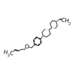 C=C[C@H]1CC[C@H]([C@H]2CC[C@H](c3ccc(COCCC=CC)cc3)CC2)CC1